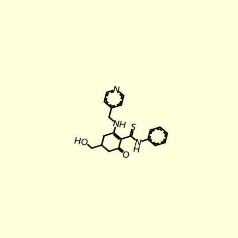 O=C1CC(CO)CC(NCc2ccncc2)=C1C(=S)Nc1ccccc1